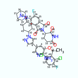 C[C@@H](Oc1cc(-c2cnn(C3CCC(CN4C5CC4CN(c4cc6c(cc4F)C(=O)N(C4CCC(=O)NC4=O)C6=O)C5)CC3)c2)cnc1N)c1c(Cl)ccc(F)c1Cl